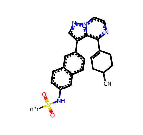 CCCS(=O)(=O)Nc1ccc2cc(-c3cnn4ccnc(C5=CCC(C#N)CC5)c34)ccc2c1